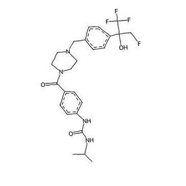 CC(C)NC(=O)Nc1ccc(C(=O)N2CCN(Cc3ccc(C(O)(CF)C(F)(F)F)cc3)CC2)cc1